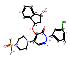 CC(C)[SH](C)(=O)N1CCN(c2cnn(-c3cc(F)cc(F)c3)c(=O)c2OC2CC(O)c3ccccc32)CC1